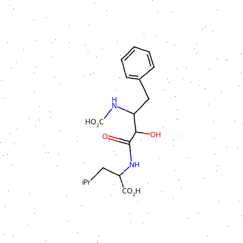 CC(C)CC(NC(=O)C(O)C(Cc1ccccc1)NC(=O)O)C(=O)O